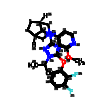 COc1cc(N2C[C@H]3CC[C@@H](C2)C3Nc2nc(Oc3cccc(F)c3F)n(C(C)C)n2)ccn1